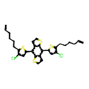 C=CCCCCc1sc(-c2c3ccsc3c(-c3cc(Cl)c(CCCCC=C)s3)c3ccsc23)cc1Cl